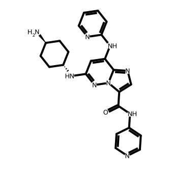 N[C@H]1CC[C@H](Nc2cc(Nc3ccccn3)c3ncc(C(=O)Nc4ccncc4)n3n2)CC1